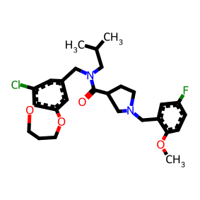 COc1ccc(F)cc1CN1CCC(C(=O)N(Cc2cc(Cl)c3c(c2)OCCCO3)CC(C)C)C1